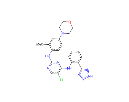 COc1cc(N2CCOCC2)ccc1Nc1ncc(Cl)c(Nc2ccccc2-c2nn[nH]n2)n1